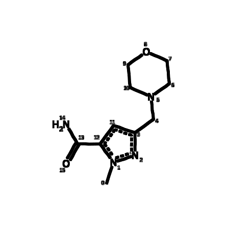 Cn1nc(CN2CCOCC2)cc1C(N)=O